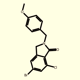 COc1ccc(CN2Cc3cc(Br)cc(Cl)c3C2=O)cc1